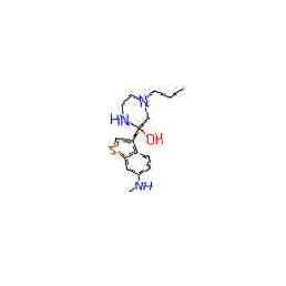 CCCN1CCNC(O)(c2csc3cc(NC)ccc23)C1